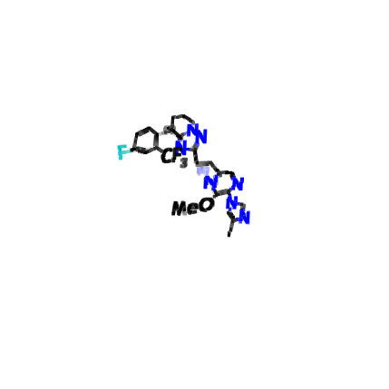 COc1nc(/C=C/c2nc3n(n2)CCC[C@H]3c2ccc(F)cc2C(F)(F)F)cnc1-n1cnc(C)c1